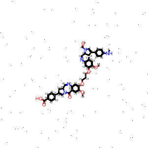 CNc1ccc(C2=CN(C=O)C(/C=N\c3cc(OCCCOc4cc5c(cc4OC)C(=O)N4C=C(c6ccc(C(=O)O)cc6)CC4C=N5)c(OC)cc3C)C2)cc1